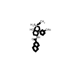 C=CC[N@@+]1(C)CC[C@@]2(c3cccc(OC(C)=O)c3)C[C@@H](NC(=O)c3ccc4ccccc4c3)CCC2(O)C1